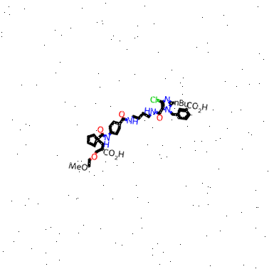 CCCCc1nc(Cl)c(C(=O)NCCCCNC(=O)C2CCC(NC(=O)C3(CC(COCCOC)C(=O)O)CCCC3)CC2)n1Cc1cc[c]c(C(=O)O)c1